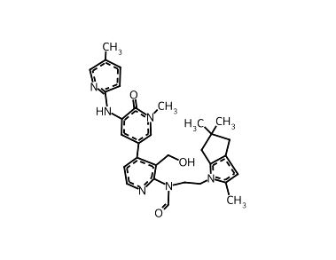 Cc1ccc(Nc2cc(-c3ccnc(N(C=O)CCn4c(C)cc5c4CC(C)(C)C5)c3CO)cn(C)c2=O)nc1